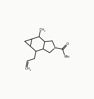 C=CCC1C2CC2C(C)C2CN(C(=O)C(C)(C)C)CC21